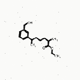 CCOC(=O)C(C)CCCC(C)c1cccc(CO)c1